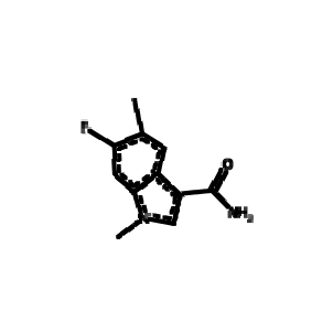 Cc1cc2c(C(N)=O)cn(C)c2cc1F